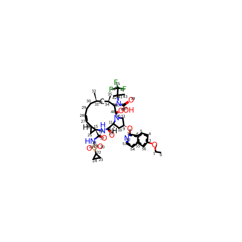 CCOc1ccc2c(O[C@@H]3C[C@H]4C(=O)N[C@]5(C(=O)NS(=O)(=O)C6CC6)C[C@H]5/C=C\CC[C@@H](C)C[C@@H](C)[C@H](N(C(=O)O)C(C)(C)C(F)(F)F)C(=O)N4C3)nccc2c1